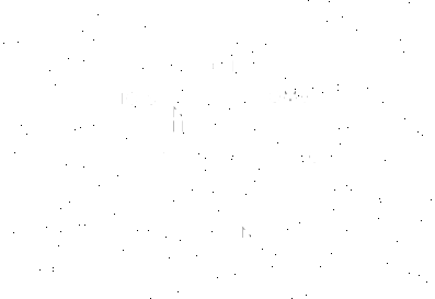 CO[C@H](c1c(Cl)cncc1Cl)[C@@H](C)NS(=O)(=O)O